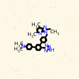 CCc1nc2c(C)cc(C)nc2n1Cc1ccc(-c2cc(-c3ccc(N(C)C)cc3)ccc2-c2nn[nH]n2)cc1